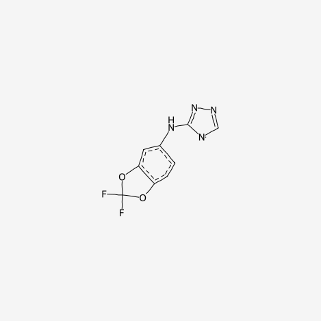 FC1(F)Oc2ccc(NC3=NN=C[N]3)cc2O1